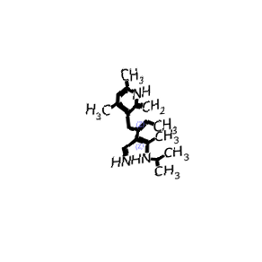 C=C1NC(C)=CC(C)=C1CC(=C/C)/C(C=N)=C(\C)NC(C)C